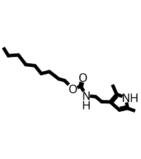 CCCCCCCCCOC(=O)NCCc1cc(C)[nH]c1C